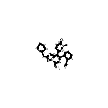 Cn1nc(-c2c(-c3ccccc3C#N)nc(N)n3nc(Cc4ccccn4)nc23)ccc1=O